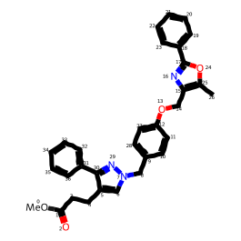 COC(=O)CCc1cn(Cc2ccc(OCc3nc(-c4ccccc4)oc3C)cc2)nc1-c1ccccc1